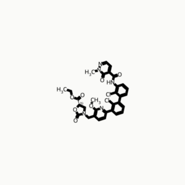 CCOC(=O)[C@@H]1CN(Cc2ccc(-c3cccc(-c4cccc(NC(=O)c5ccnn(C)c5=O)c4Cl)c3Cl)nc2OC)C(=O)O1